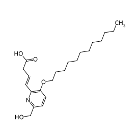 CCCCCCCCCCCCOc1ccc(CO)nc1C=CCC(=O)O